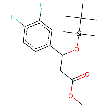 COC(=O)CC(O[Si](C)(C)C(C)(C)C)c1ccc(F)c(F)c1